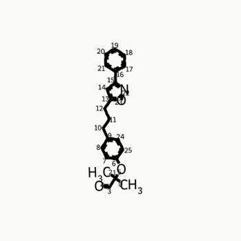 CC(C)(C=O)Oc1ccc(CCCc2cc(-c3ccccc3)no2)cc1